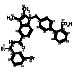 CC[C@H](NC(=O)c1ccc2c(c1)c(C)c(C)n2Cc1ccc(-c2ccccc2C(=O)O)cc1)c1cccc(C(C)C)c1